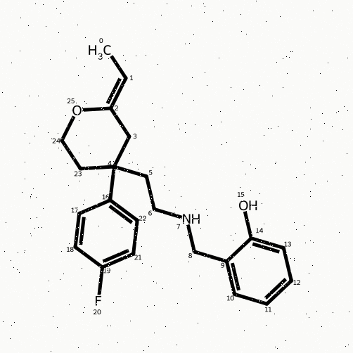 C/C=C1/CC(CCNCc2ccccc2O)(c2ccc(F)cc2)CCO1